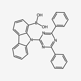 OB(O)c1cccc2c3ccccc3n(-c3nc(-c4ccccc4)nc(-c4ccccc4)n3)c12